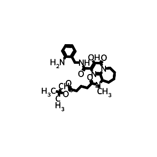 CN(C(=O)CCCC(=O)OC(C)(C)C)C1CCCCn2c1nc(C(=O)NCc1ccccc1N)c(O)c2=O